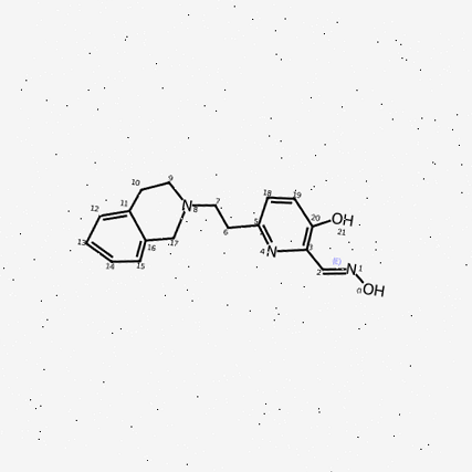 O/N=C/c1nc(CCN2CCc3ccccc3C2)ccc1O